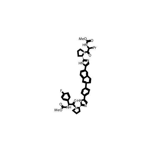 COC(=O)NC(C(=O)N1CCC[C@H]1c1ncc(-c2ccc3cc(-c4ccc(-c5cnc([C@@H]6CCCN6C(=O)[C@@H](NC(=O)OC)c6ccc(F)cc6)[nH]5)cc4)ccc3c2)[nH]1)C(C)C